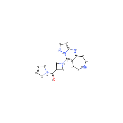 O=C(C1CN(c2c3c(nc4ccnn24)CCNCC3)C1)N1CC=CC1